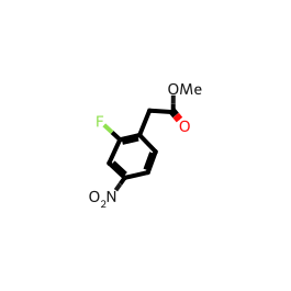 COC(=O)Cc1ccc([N+](=O)[O-])cc1F